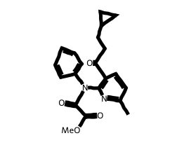 COC(=O)C(=O)N(c1ccccc1)c1nc(C)ccc1C(=O)CCC1CC1